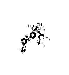 CCC(CCOC)Cn1c(C(C)(C)C)nc2cc(S(=O)(=O)c3ccnc(OCC(F)(F)F)c3)ccc21